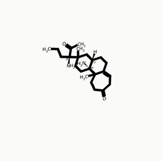 CCC[C@](N)(C(C)=O)C1(C)CC[C@@]2(N)[C@@H](CCC3=CCC(=O)CCC32C)C1